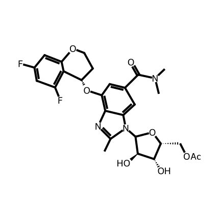 CC(=O)OC[C@H]1OC(n2c(C)nc3c(O[C@H]4CCOc5cc(F)cc(F)c54)cc(C(=O)N(C)C)cc32)[C@H](O)[C@H]1O